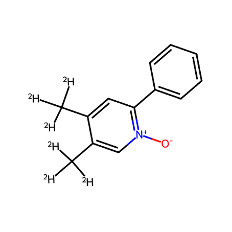 [2H]C([2H])([2H])c1cc(-c2ccccc2)[n+]([O-])cc1C([2H])([2H])[2H]